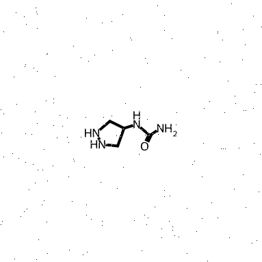 NC(=O)NC1CNNC1